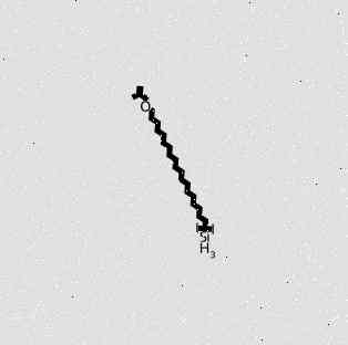 C=C(C)COCCCCCCCCCCCCCCCCCCCC([SiH3])(I)I